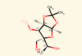 BO[C@H]1[C@H]2OC(C)(C)O[C@H]2O[C@@]1(CO)[C@H](C)O